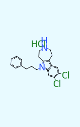 Cl.Clc1cc2c3c(n(CCCc4ccccc4)c2cc1Cl)CCNCC3